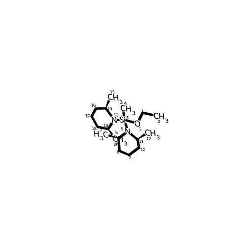 CCO[Si](C)(N1[C@H](C)CCC[C@@H]1C)N1[C@H](C)CCC[C@@H]1C